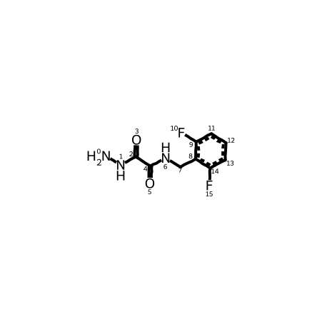 NNC(=O)C(=O)NCc1c(F)cccc1F